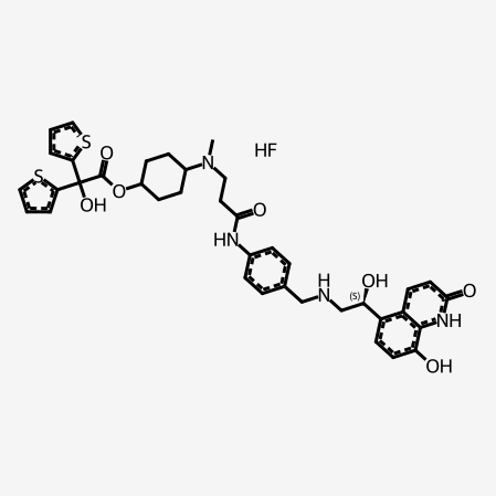 CN(CCC(=O)Nc1ccc(CNC[C@@H](O)c2ccc(O)c3[nH]c(=O)ccc23)cc1)C1CCC(OC(=O)C(O)(c2cccs2)c2cccs2)CC1.F